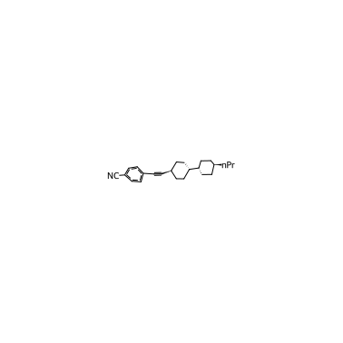 CCC[C@H]1CC[C@H]([C@H]2CC[C@H](C#Cc3ccc(C#N)cc3)CC2)CC1